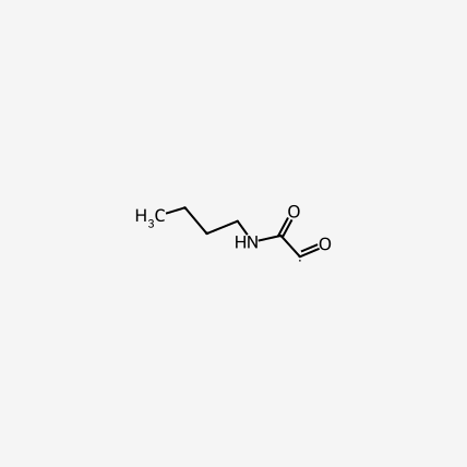 CCCCNC(=O)[C]=O